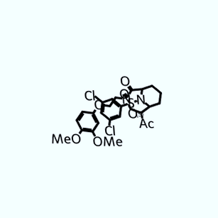 COc1ccc(OCCN2C[C@H](C(C)=O)C3CCCC(C2=O)N3S(=O)(=O)c2cc(Cl)cc(Cl)c2)cc1OC